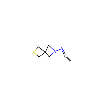 C=C=NN1CC2(CSC2)C1